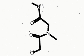 CNC(=O)CN(C)C(=O)CCl